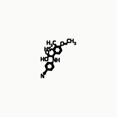 CCOc1ccc(C(Nc2ccc(C#N)cc2)C(=O)O)c(S)c1C